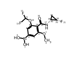 COc1cc(B(O)O)cc(OC(F)F)c1C(=O)N[C@@H]1C[C@@H]1F